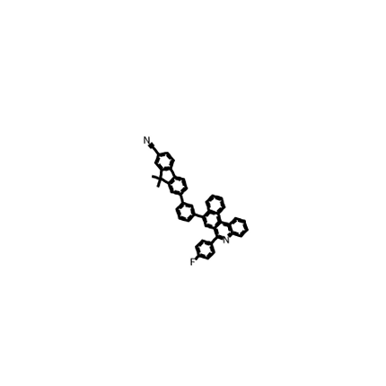 CC1(C)c2cc(C#N)ccc2-c2ccc(-c3cccc(-c4cc5c(-c6ccc(F)cc6)nc6ccccc6c5c5ccccc45)c3)cc21